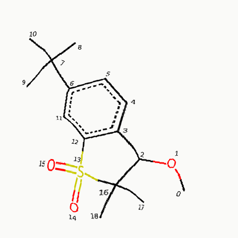 COC1c2ccc(C(C)(C)C)cc2S(=O)(=O)C1(C)C